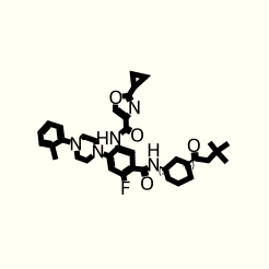 Cc1ccccc1N1CCN(c2cc(F)c(C(=O)N[C@H]3CCC[C@H](C(=O)CC(C)(C)C)C3)cc2NC(=O)c2coc(C3CC3)n2)CC1